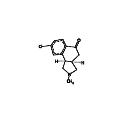 CN1C[C@@H]2CC(=O)c3ccc(Cl)cc3[C@@H]2C1